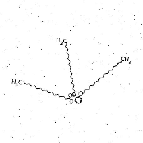 CCCCCCCCCCCCCCCCCCOc1cccc(OC(O)CCCCCCCCCCCCCCCCC)c1OCCCCCCCCCCCCCCCCCC